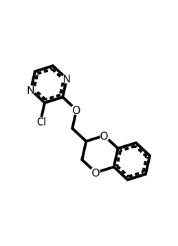 Clc1nccnc1OCC1COc2ccccc2O1